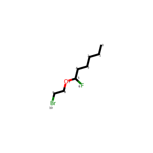 CCCCCC(F)OCCBr